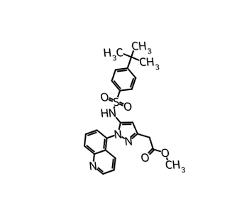 COC(=O)Cc1cc(NS(=O)(=O)c2ccc(C(C)(C)C)cc2)n(-c2cccc3ncccc23)n1